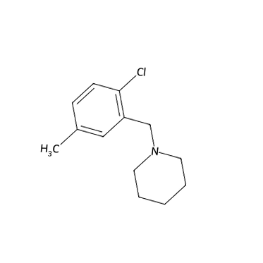 Cc1ccc(Cl)c(CN2CCCCC2)c1